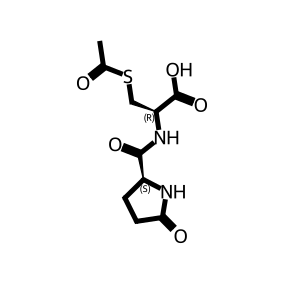 CC(=O)SC[C@H](NC(=O)[C@@H]1CCC(=O)N1)C(=O)O